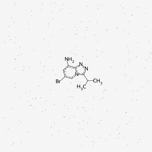 CC(C)c1nnc2c(N)cc(Br)cn12